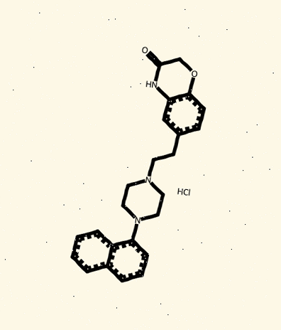 Cl.O=C1COc2ccc(CCN3CCN(c4cccc5ccccc45)CC3)cc2N1